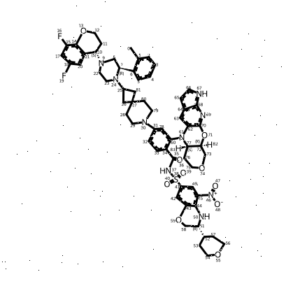 Cc1ccccc1[C@@H]1CN([C@H]2CCOc3c(F)cc(F)cc32)CCN1C1CC2(CCN(c3ccc(C(=O)NS(=O)(=O)c4cc5c(c([N+](=O)[O-])c4)N[C@H](C4CCOCC4)CO5)c(N4c5cc6cc[nH]c6nc5O[C@H]5COCC[C@@H]54)c3)CC2)C1